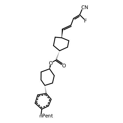 CCCCCc1ccc([C@H]2CC[C@H](OC(=O)[C@H]3CC[C@H](C=CC=C(F)C#N)CC3)CC2)cc1